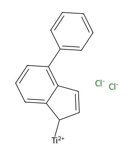 [Cl-].[Cl-].[Ti+2][CH]1C=Cc2c(-c3ccccc3)cccc21